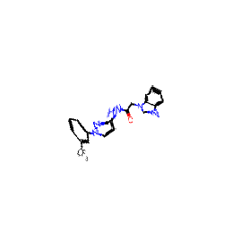 O=C(Cn1cnc2ccccc21)Nc1ccn(-c2cccc(C(F)(F)F)c2)n1